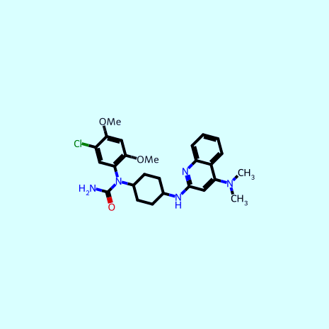 COc1cc(OC)c(N(C(N)=O)C2CCC(Nc3cc(N(C)C)c4ccccc4n3)CC2)cc1Cl